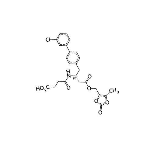 Cc1oc(=O)oc1COC(=O)C[C@@H](Cc1ccc(-c2cccc(Cl)c2)cc1)NC(=O)CCC(=O)O